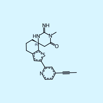 CC#Cc1ccnc(-c2cc3c(s2)[C@@]2(CCC3)CC(=O)N(C)C(=N)N2)c1